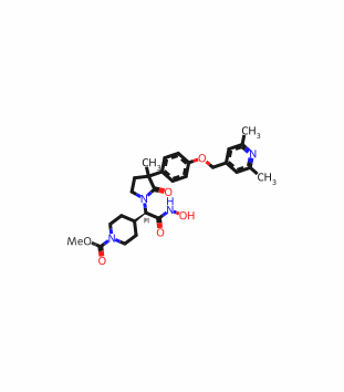 COC(=O)N1CCC([C@H](C(=O)NO)N2CCC(C)(c3ccc(OCc4cc(C)nc(C)c4)cc3)C2=O)CC1